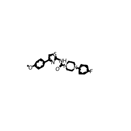 COc1ccc(-c2csc(NC(=O)N3CCN(c4ccc(F)cc4)CC3)n2)cc1